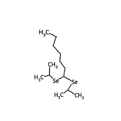 CCCCCCC([Se]C(C)C)[Se]C(C)C